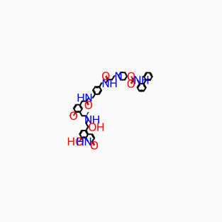 COc1ccc(CC(=O)NCc2ccc(CNC(=O)CCN3CCC(OC(=O)Nc4ccccc4-c4ccccc4)CC3)cc2)cc1C[C@@H](C)NC[C@@H](O)c1ccc(O)c2[nH]c(=O)ccc12